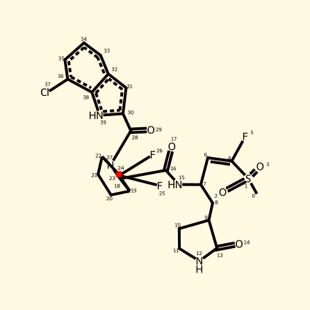 CS(=O)(=O)C(F)=CC(CC1CCNC1=O)NC(=O)C1C2CCC(CC2(F)F)N1C(=O)c1cc2cccc(Cl)c2[nH]1